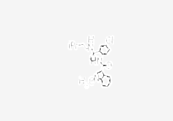 CC(C)CCNC(=O)c1cc(Cl)ccc1NC(=O)c1cn(C)c2ccccc12